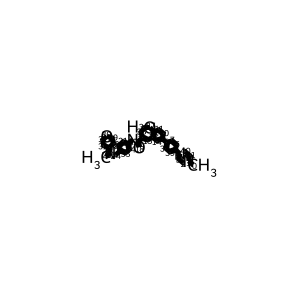 CN1CCN(c2ccc(-c3ccc4c(c3)C=C(C(=O)Nc3ccc(CN(C)C5CCOCC5)cc3)CCO4)cc2)CC1